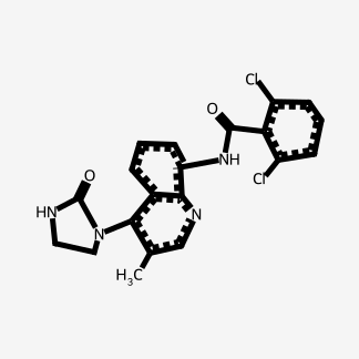 Cc1cnc2c(NC(=O)c3c(Cl)cccc3Cl)cccc2c1N1CCNC1=O